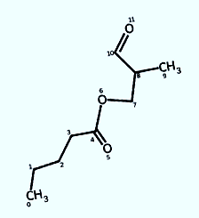 CCCCC(=O)OCC(C)C=O